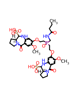 CCCC(=O)NCP(=O)(CCOc1cc2c(cc1OC)C(=O)N1CCC[C@H]1C(S(=O)(=O)O)N2)CCOc1cc2c(cc1OC)C(=O)N1CCC[C@H]1C(S(=O)(=O)O)N2